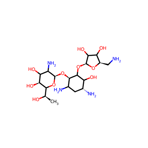 C[C@@H](O)C1O[C@H](O[C@@H]2C(N)C[C@@H](N)C(O)C2O[C@@H]2O[C@H](CN)C(O)C2O)C(N)C(O)[C@@H]1O